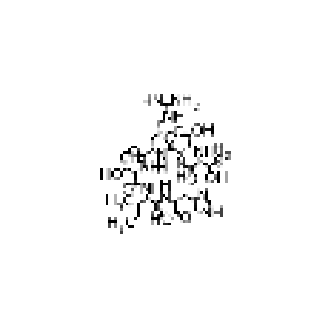 CC[C@H](C)[C@H](NC(=O)[C@@H](NC(=O)[C@H](CCCNC(=N)N)NC(=O)[C@H](CC(=O)O)NC(=O)[C@@H](N)[C@@H](C)O)[C@@H](C)O)C(=O)N[C@@H](Cc1c[nH]cn1)C(=O)O